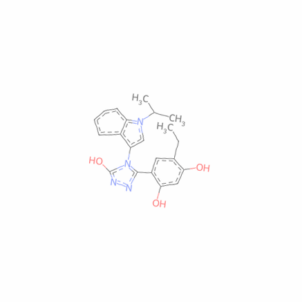 CCc1cc(-c2nnc(O)n2-c2cn(C(C)C)c3ccccc23)c(O)cc1O